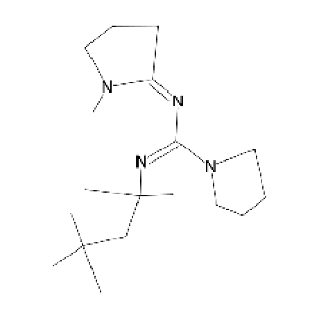 CN1CCC/C1=N/C(=N/C(C)(C)CC(C)(C)C)N1CCCC1